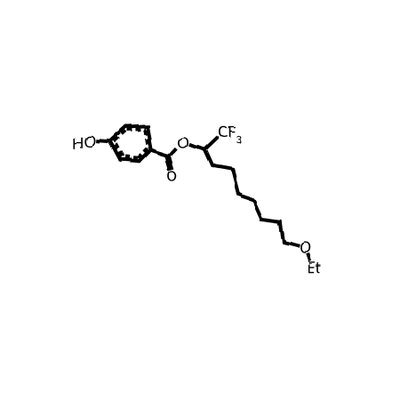 CCOCCCCCCCC(OC(=O)c1ccc(O)cc1)C(F)(F)F